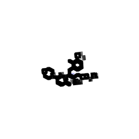 C=C1C=CC(N2CCOCC2)=NN1/C(Cc1cccc(C(F)(F)F)c1C)=C(/CC(=O)OCC)[C@@H](C)CC